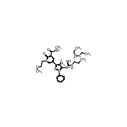 CCSN(CC)C[C@H](CC)NC(=N)Nc1c(C)c(-c2cc(C(=O)NC)c(=O)n(CCOC)c2)nn1-c1ccccc1